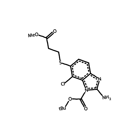 COC(=O)CCSc1ccc2nc(N)n(C(=O)OC(C)(C)C)c2c1Cl